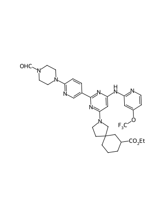 CCOC(=O)C1CCCC2(CCN(c3cc(Nc4cc(OC(F)(F)F)ccn4)nc(-c4ccc(N5CCN(C=O)CC5)nc4)n3)C2)C1